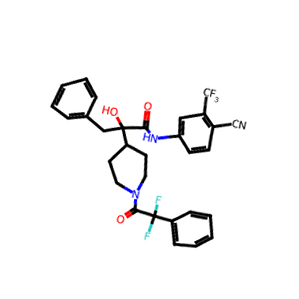 N#Cc1ccc(NC(=O)C(O)(Cc2ccccc2)C2CCN(C(=O)C(F)(F)c3ccccc3)CC2)cc1C(F)(F)F